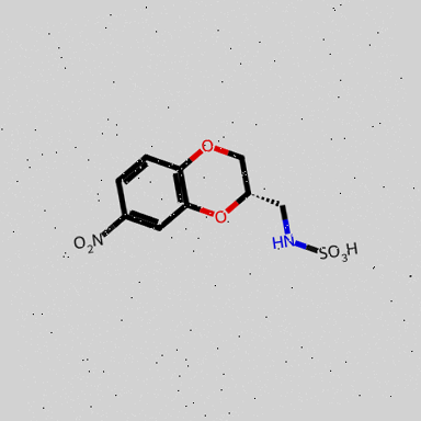 O=[N+]([O-])c1ccc2c(c1)O[C@@H](CNS(=O)(=O)O)CO2